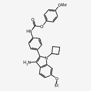 CCOc1ccc2c(N)c(-c3ccc(NC(=O)Oc4ccc(OC)cc4)cc3)n(C3CCC3)c2c1